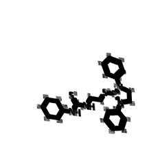 S=C(NCCSP1N(c2ccccc2)CCN1c1ccccc1)NC1CCCCC1